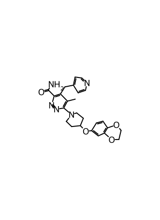 Cc1c(N2CCC(Oc3ccc4c(c3)OCCO4)CC2)nnc(C(N)=O)c1Cc1ccncc1